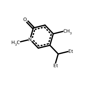 CCC(CC)c1cn(C)c(=O)cc1C